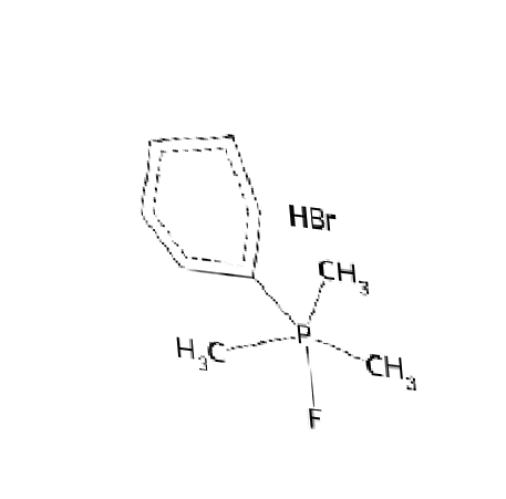 Br.CP(C)(C)(F)c1ccccc1